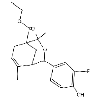 CCOC(=O)C12CC=C(C)C(C1)C(c1ccc(O)c(F)c1)OC2(C)C